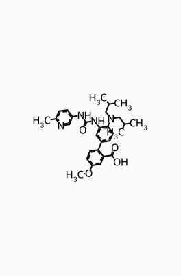 COc1ccc(-c2ccc(N(CC(C)C)CC(C)C)c(NC(=O)Nc3ccc(C)nc3)c2)c(C(=O)O)c1